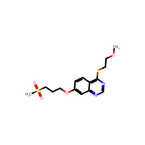 COCCSc1ncnc2cc(OCCCS(C)(=O)=O)ccc12